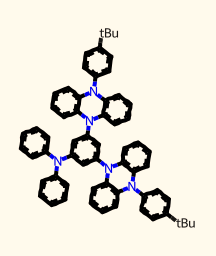 CC(C)(C)c1ccc(N2c3ccccc3N(c3cc(N(c4ccccc4)c4ccccc4)cc(N4c5ccccc5N(c5ccc(C(C)(C)C)cc5)c5ccccc54)c3)c3ccccc32)cc1